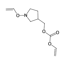 C=COC(=O)OCC1CCN(OC=C)C1